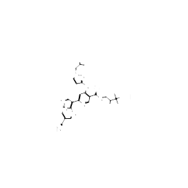 CC(C)(O)C(F)CNC(=O)c1cnc(-c2cnn3cc(C#N)cnc23)cc1Nc1ccn(CC(F)F)n1